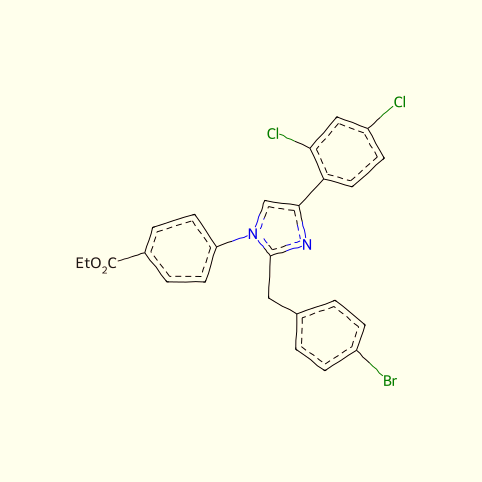 CCOC(=O)c1ccc(-n2cc(-c3ccc(Cl)cc3Cl)nc2Cc2ccc(Br)cc2)cc1